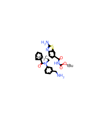 CC(C)(C)OC(=O)NC(=O)c1ccc2nc(N)sc2c1.NCc1cccc(N(CC(=O)O)C(=O)c2ccccc2)c1